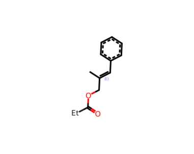 CCC(=O)OC/C(C)=C/c1ccccc1